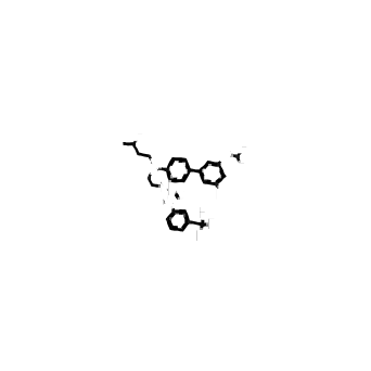 CC(F)CCN1CCN(S(=O)(=O)c2cccc(C(F)(F)F)c2)c2cc(-c3cc(F)cc(OC(F)F)c3)ccc21